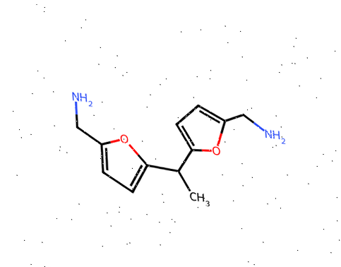 CC(c1ccc(CN)o1)c1ccc(CN)o1